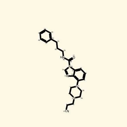 N#CCCN1CCN(c2cccc3c2ncn3C(=O)NCCCc2ccccc2)CC1